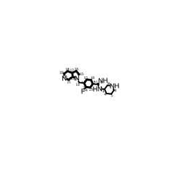 N=C(NC1CCCNC1)c1ccc(Cn2ccc3ccncc32)c(F)c1